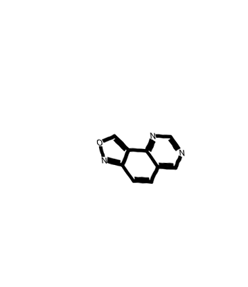 c1ncc2ccc3nocc3c2n1